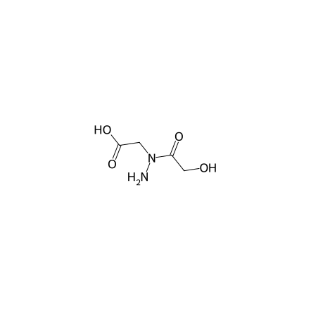 NN(CC(=O)O)C(=O)CO